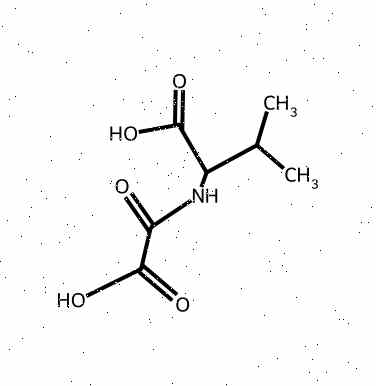 CC(C)C(NC(=O)C(=O)O)C(=O)O